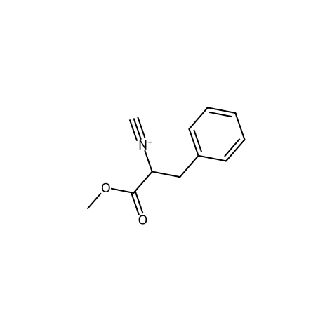 C#[N+]C(Cc1ccccc1)C(=O)OC